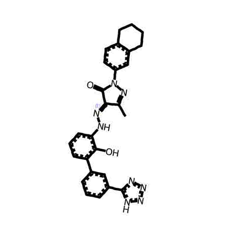 CC1=NN(c2ccc3c(c2)CCCC3)C(=O)/C1=N/Nc1cccc(-c2cccc(-c3nnn[nH]3)c2)c1O